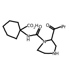 CC(C)C(=O)C1CNCCN1C(=O)NC1(C(=O)O)CCCCC1